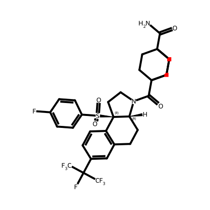 NC(=O)C12CCC(C(=O)N3CC[C@@]4(S(=O)(=O)c5ccc(F)cc5)c5ccc(C(F)(C(F)(F)F)C(F)(F)F)cc5CC[C@@H]34)(CC1)CC2